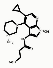 COCCC(=O)Nc1c[nH]c2ncc(C3CC3)c(N3CCC[C@@H](N)C3)c12.Cl